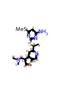 CSc1cc(N)nc(SC(C)c2cc3c(CN(C)C)csc3cn2)n1